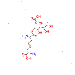 NC(CSSC[C@H](N)C(=O)O[C@H](CO[Se](=O)O)[C@@H](O)[C@H](O)[C@H](O)CO)C(=O)O